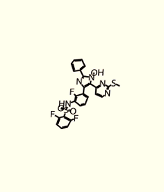 CSc1nccc(-c2c(-c3cccc(NS(=O)(=O)c4c(F)cccc4F)c3F)nc(-c3ccccc3)n2O)n1